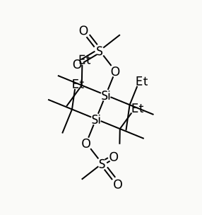 CCC(C)(C)[Si](OS(C)(=O)=O)(C(C)(C)CC)[Si](OS(C)(=O)=O)(C(C)(C)CC)C(C)(C)CC